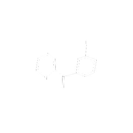 O=C(c1cccc(F)c1)c1ccccn1